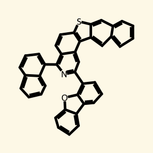 c1ccc2cc3c(cc2c1)sc1ccc2c(-c4cccc5ccccc45)nc(-c4cccc5c4oc4ccccc45)cc2c13